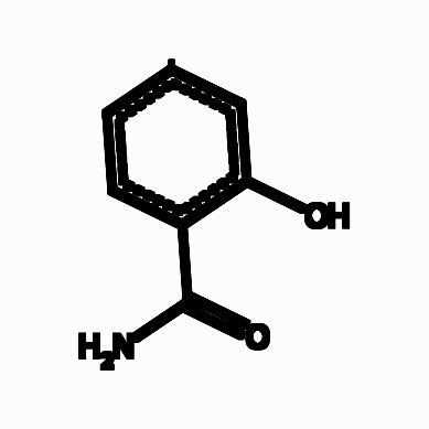 NC(=O)c1cc[c]cc1O